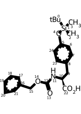 CC(C)(C)[Si](C)(C)Oc1ccc(C[C@H](NC(=O)OCc2ccccc2)C(=O)O)cc1